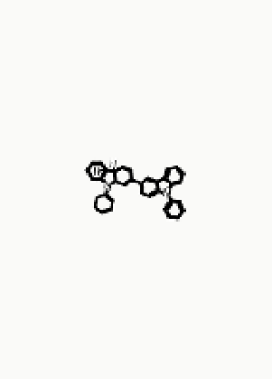 C1=CCCC(N2C3C=C(c4ccc5c(c4)c4ccccc4n5C4=CCCC=C4)C=C[C@H]3[C@H]3C=CCCC32)=C1